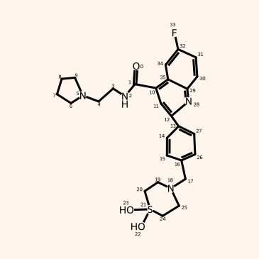 O=C(NCCN1CCCC1)c1cc(-c2ccc(CN3CCS(O)(O)CC3)cc2)nc2ccc(F)cc12